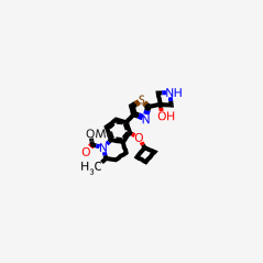 COC(=O)N1c2ccc(-c3csc(C4(O)CNC4)n3)c(OC3CCC3)c2CCC1C